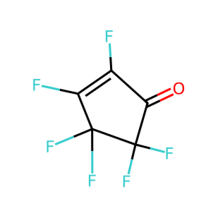 O=C1C(F)=C(F)C(F)(F)C1(F)F